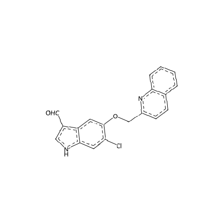 O=Cc1c[nH]c2cc(Cl)c(OCc3ccc4ccccc4n3)cc12